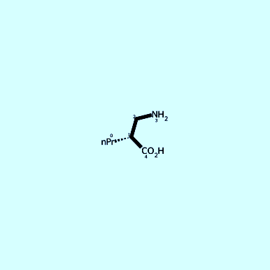 CCC[C@H](CN)C(=O)O